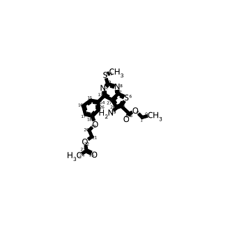 CCOC(=O)c1sc2nc(SC)nc(-c3cccc(OCCOC(C)=O)c3)c2c1N